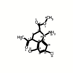 COC(=O)C1CC(C(C)=O)c2c(Cl)cc(Cl)cc2N1N